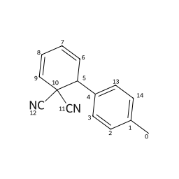 Cc1ccc(C2C=CC=CC2(C#N)C#N)cc1